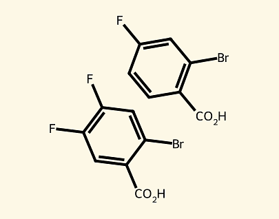 O=C(O)c1cc(F)c(F)cc1Br.O=C(O)c1ccc(F)cc1Br